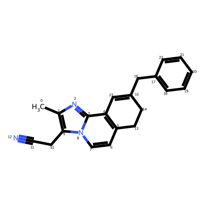 Cc1nc2c3c(ccn2c1CC#N)CCC(Cc1ccccc1)=C3